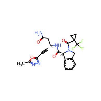 Cc1nnc(C#C[C@H](CC(N)=O)NC(=O)[C@@H]2c3ccccc3CN2C(=O)C2(C(F)(F)F)CC2)o1